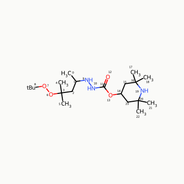 CC(CC(C)(C)OOC(C)(C)C)NNC(=O)OC1CC(C)(C)NC(C)(C)C1